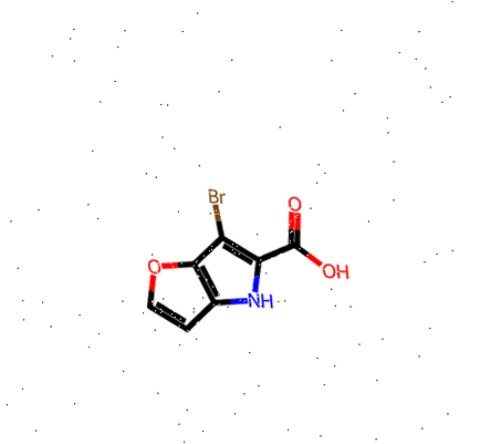 O=C(O)c1[nH]c2ccoc2c1Br